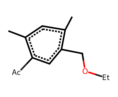 CCOCc1cc(C(C)=O)c(C)cc1C